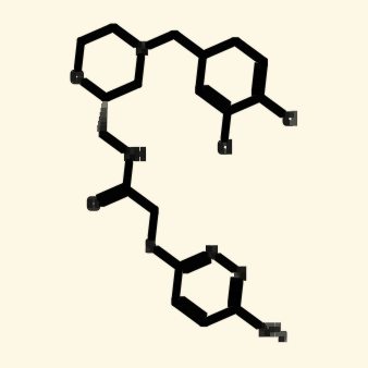 Nc1ccc(SCC(=O)NC[C@H]2CN(CC3C=C(Cl)C(Cl)=CC3)CCO2)nn1